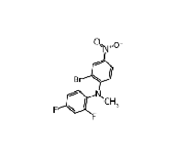 CN(c1ccc(F)cc1F)c1ccc([N+](=O)[O-])cc1Br